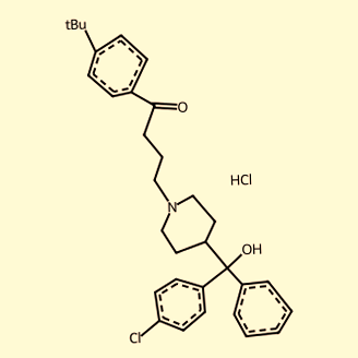 CC(C)(C)c1ccc(C(=O)CCCN2CCC(C(O)(c3ccccc3)c3ccc(Cl)cc3)CC2)cc1.Cl